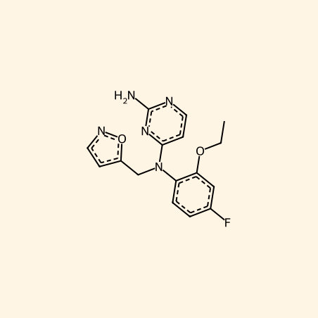 CCOc1cc(F)ccc1N(Cc1ccno1)c1ccnc(N)n1